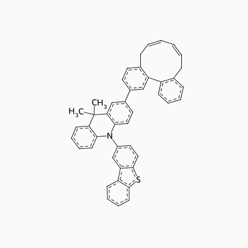 CC1(C)c2ccccc2N(c2ccc3sc4ccccc4c3c2)c2ccc(-c3ccc4c(c3)-c3ccccc3C/C=C\C=C/C4)cc21